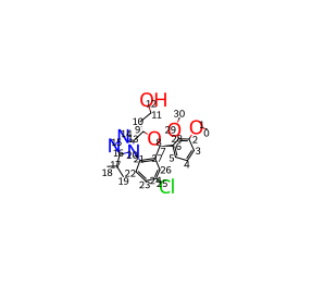 COc1cccc([C@@H]2O[C@@H](CCO)c3nnc(C(C)C)n3-c3ccc(Cl)cc32)c1OC